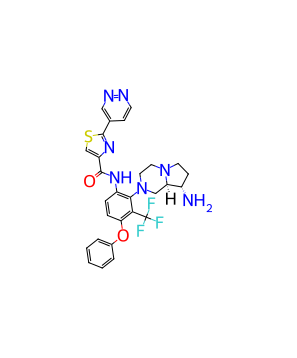 N[C@H]1CCN2CCN(c3c(NC(=O)c4csc(-c5ccnnc5)n4)ccc(Oc4ccccc4)c3C(F)(F)F)C[C@H]12